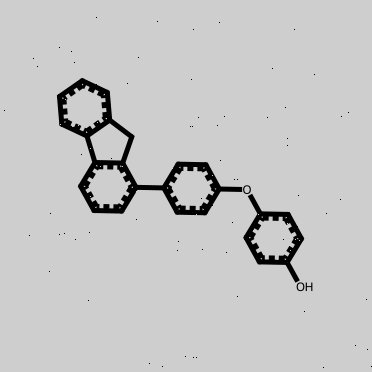 Oc1ccc(Oc2ccc(-c3cccc4c3Cc3ccccc3-4)cc2)cc1